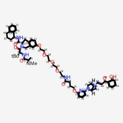 CN[C@@H](C)C(=O)N[C@H](C(=O)N1Cc2cc(OCCOCCOCCOCCNC(=O)CCCOc3cccc(N4C[C@H]5C[C@@H]4CN5/C=C/C(=O)c4ccccc4O)n3)ccc2C[C@H]1C(=O)N[C@@H]1CCCc2ccccc21)C(C)(C)C